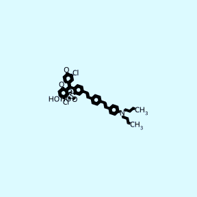 CCCCN(CCCC)c1ccc(C=Cc2ccc(C=Cc3ccc(-c4c5cc(Cl)c(=O)cc-5oc5cc(O)c(Cl)cc45)c(S(=O)(=O)O)c3)cc2)cc1